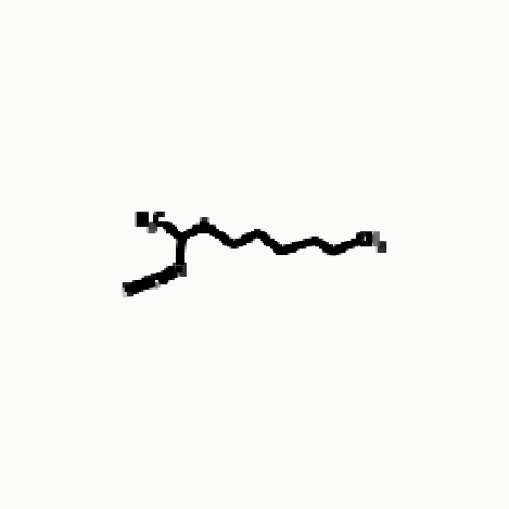 CCCCCCSC(C)N=C=S